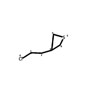 Cl[CH]CC1CSC1